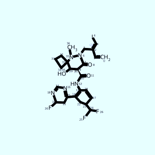 C=C/C(=C/I)CN1C(=O)[C@@H](C(=O)NC2=C(C3=NC=NC(F)C3)CC(C(F)F)C=C2)C(O)C2(CCC2)N1C